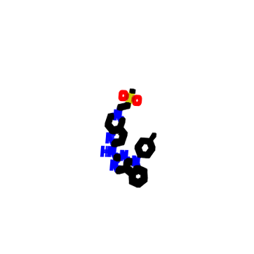 CS(=O)(=O)CCN1CCc2nc(Nc3ncc4c5ccccc5n([C@H]5CC[C@H](C)CC5)c4n3)ccc2C1